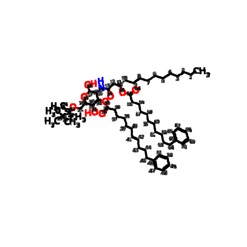 CCCCCCCCCCC[C@@H](CC(=O)N[C@H]1C(O)O[C@H](CO[Si](C)(C)C(C)(C)C)[C@@H](O)[C@@H]1OC(=O)CCCCCCCCCCc1ccccc1)OC(=O)CCCCCCCCCCc1ccccc1